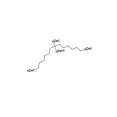 CCCCCCCCCCCCCCCCC(CCCCC)(CCCCCCCCCC)CCCCCCCCCCCCCCCC